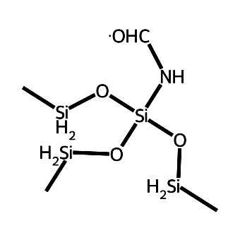 C[SiH2]O[Si](N[C]=O)(O[SiH2]C)O[SiH2]C